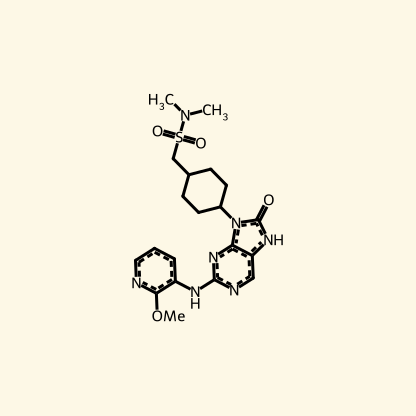 COc1ncccc1Nc1ncc2[nH]c(=O)n(C3CCC(CS(=O)(=O)N(C)C)CC3)c2n1